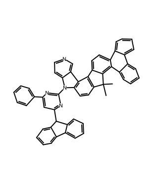 CC1(C)c2ccc3c(c2-c2ccc4c5ccccc5c5ccccc5c4c21)c1cnccc1n3-c1nc(-c2ccccc2)cc(C2c3ccccc3-c3ccccc32)n1